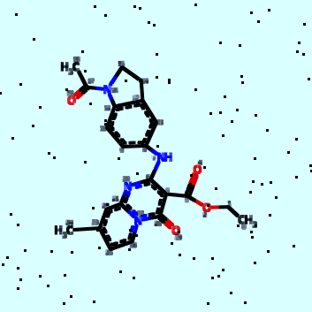 CCOC(=O)c1c(Nc2ccc3c(c2)CCN3C(C)=O)nc2cc(C)ccn2c1=O